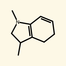 CC1CN(C)C2=C1CCC=C2